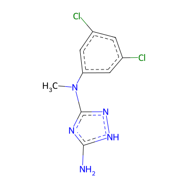 CN(c1cc(Cl)cc(Cl)c1)c1n[nH]c(N)n1